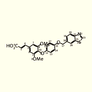 COc1cc(/C=C/C(=O)O)cc(OC)c1Oc1ccc(OCc2ccc3ncsc3c2)cn1